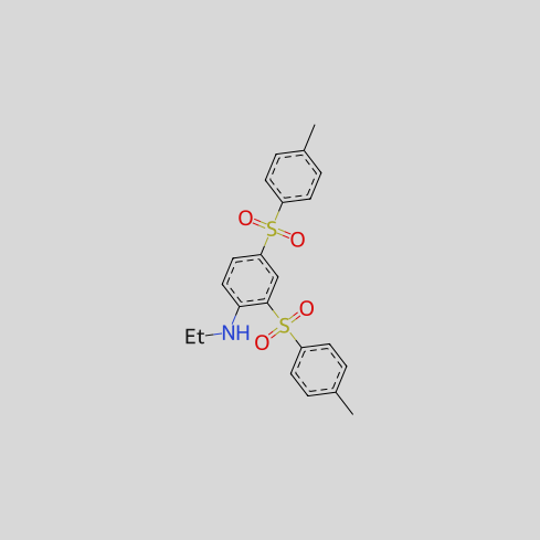 CCNc1ccc(S(=O)(=O)c2ccc(C)cc2)cc1S(=O)(=O)c1ccc(C)cc1